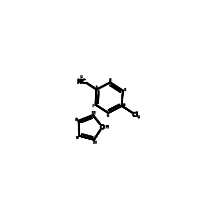 N#Cc1ccc(Cl)cc1.c1ccoc1